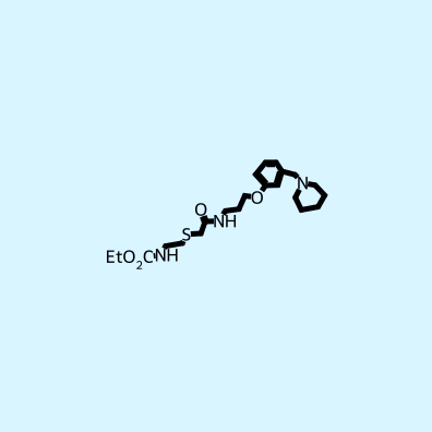 CCOC(=O)NCCSCC(=O)NCCCOc1cccc(CN2CCCCC2)c1